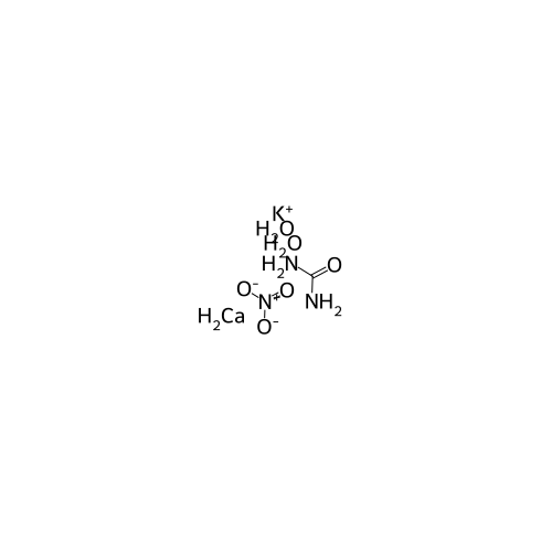 NC(N)=O.O.O.O=[N+]([O-])[O-].[CaH2].[K+]